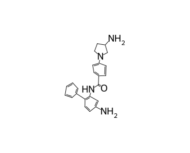 Nc1ccc(-c2ccccc2)c(NC(=O)c2ccc(N3CCC(N)C3)cc2)c1